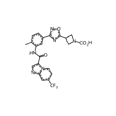 Cc1ccc(-c2noc(C3CN(C(=O)O)C3)n2)cc1NC(=O)c1cnc2cc(C(F)(F)F)ccn12